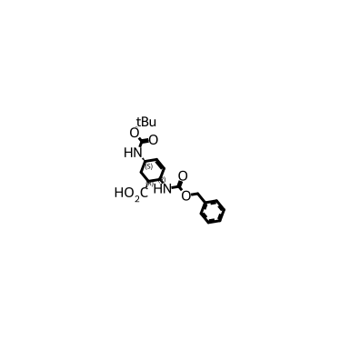 CC(C)(C)OC(=O)N[C@@H]1C=C[C@@H](NC(=O)OCc2ccccc2)[C@H](C(=O)O)C1